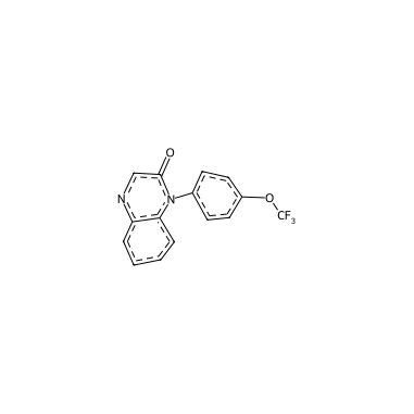 O=c1cnc2ccccc2n1-c1ccc(OC(F)(F)F)cc1